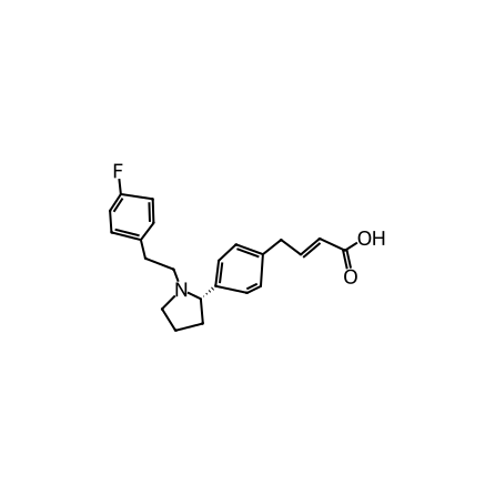 O=C(O)/C=C/Cc1ccc([C@@H]2CCCN2CCc2ccc(F)cc2)cc1